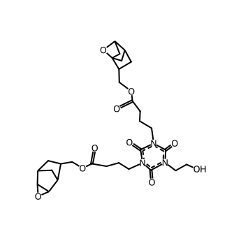 O=C(CCCn1c(=O)n(CCO)c(=O)n(CCCC(=O)OCC2CC3CC24CC3O4)c1=O)OCC1CC2CC1C1OC21